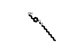 CCCCCCCCCCCCOCOc1ccc(CCCO)cc1